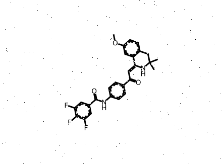 COc1ccc2c(c1)/C(=C/C(=O)c1ccc(NC(=O)c3cc(F)c(F)c(F)c3)cc1)NC(C)(C)C2